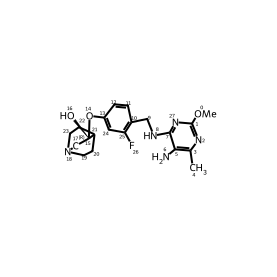 COc1nc(C)c(N)c(NCc2ccc(O[C@@]3(O)CN4CCC3CC4)cc2F)n1